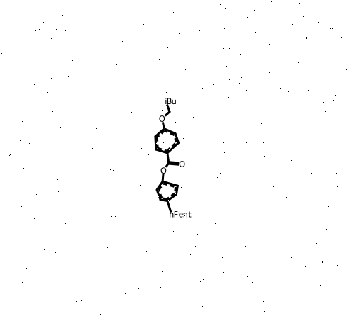 CCCCCc1ccc(OC(=O)c2ccc(OCC(C)CC)cc2)cc1